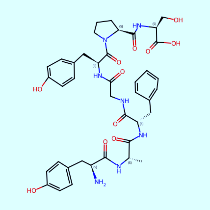 C[C@H](NC(=O)[C@@H](N)Cc1ccc(O)cc1)C(=O)N[C@@H](Cc1ccccc1)C(=O)NCC(=O)N[C@@H](Cc1ccc(O)cc1)C(=O)N1CCC[C@H]1C(=O)N[C@@H](CO)C(=O)O